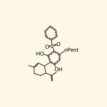 C=C(C)C1CCC(C)=CC1c1c(O)cc(CCCCC)c(S(=O)(=O)c2ccccc2)c1O